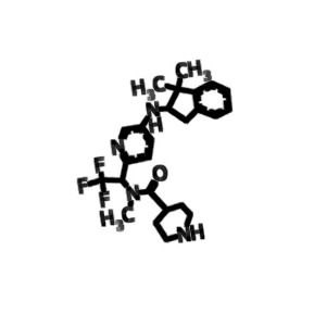 CN(C(=O)C1CCNCC1)C(c1ccc(NC2Cc3ccccc3C2(C)C)cn1)C(F)(F)F